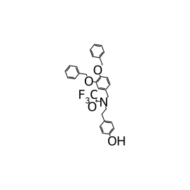 O=C(N(CCc1ccc(O)cc1)Cc1ccc(OCc2ccccc2)c(OCc2ccccc2)c1)C(F)(F)F